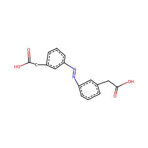 O=C(O)Cc1cccc(N=Nc2cccc(CC(=O)O)c2)c1